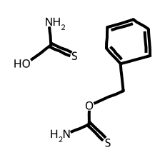 NC(=S)OCc1ccccc1.NC(O)=S